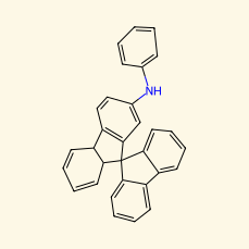 C1=CC2c3ccc(Nc4ccccc4)cc3C3(c4ccccc4-c4ccccc43)C2C=C1